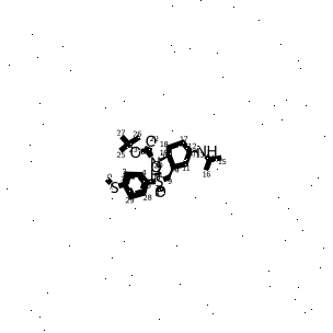 CSc1ccc(S(=O)(=O)C[C@@H]2C[C@H](NC(C)C)CC[C@@H]2NC(=O)OC(C)(C)C)cc1